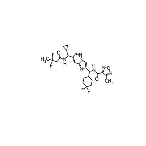 Cc1nonc1C(=O)N[C@H](c1cn2ncc(C(NC(=O)CC(C)(F)F)C3CC3)cc2n1)C1CCC(F)(F)CC1